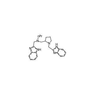 CCCN(Cc1nc2ccccc2[nH]1)CC1CCCN1Cc1nc2ccccc2[nH]1